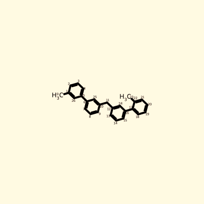 Cc1cccc(-c2cccc(Cc3cccc(-c4ccccc4C)c3)c2)c1